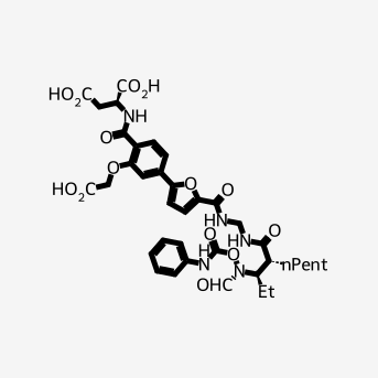 CCCCC[C@@H](C(=O)NCNC(=O)c1ccc(-c2ccc(C(=O)N[C@@H](CC(=O)O)C(=O)O)c(OCC(=O)O)c2)o1)[C@@H](CC)N(C=O)OC(=O)Nc1ccccc1